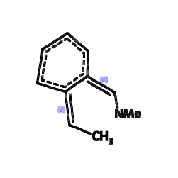 C/C=c1/cccc/c1=C/NC